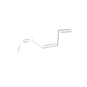 C=C/C=C\N=N/C(C)C